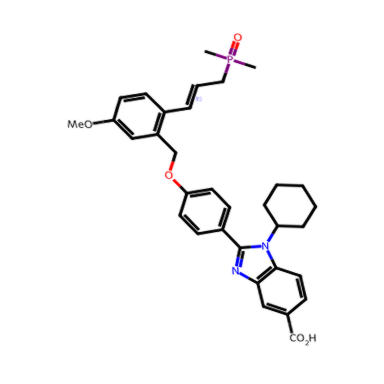 COc1ccc(/C=C/CP(C)(C)=O)c(COc2ccc(-c3nc4cc(C(=O)O)ccc4n3C3CCCCC3)cc2)c1